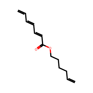 C=CC=CC=CC(=O)OCCCCC=C